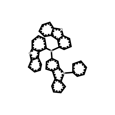 c1ccc(-n2c3ccccc3c3ccc(N(c4cccc5oc6ccccc6c45)c4cccc5oc6ccccc6c45)cc32)cc1